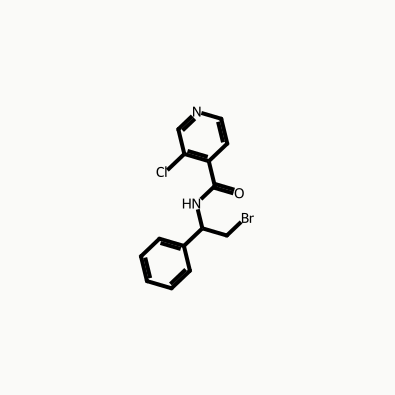 O=C(NC(CBr)c1ccccc1)c1ccncc1Cl